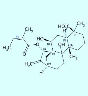 C=C1[C@@H]2CCC3(O)[C@@](C2)([C@@H](O)C[C@@H]2[C@]3(C)CCC[C@]2(C)C(=O)O)[C@H]1OC(=O)/C(C)=C\C